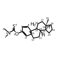 CN(C)C(=S)Oc1ccc2c(c1)CC[C@@H]1[C@@H]2CC[C@]2(C)CCC[C@@H]12